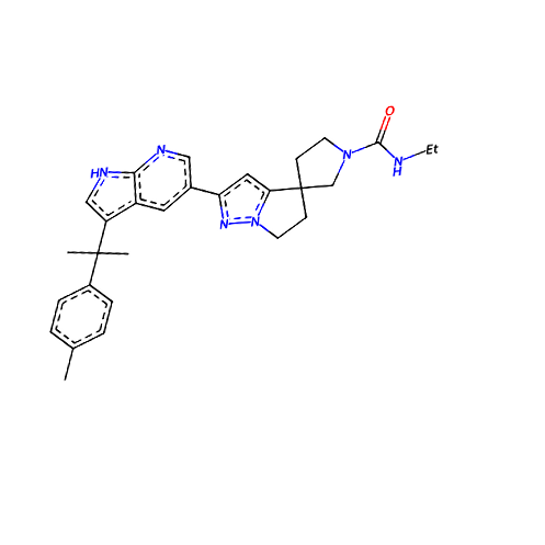 CCNC(=O)N1CCC2(CCn3nc(-c4cnc5[nH]cc(C(C)(C)c6ccc(C)cc6)c5c4)cc32)C1